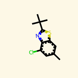 Cc1cc(Cl)c2nc(C(C)(C)C)sc2c1